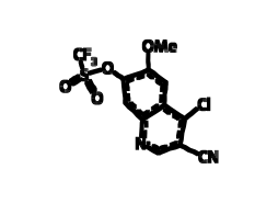 COc1cc2c(Cl)c(C#N)cnc2cc1OS(=O)(=O)C(F)(F)F